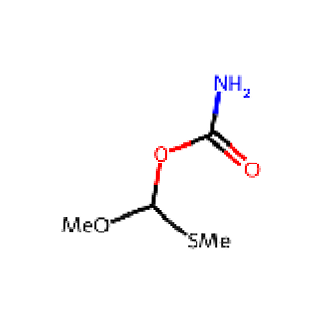 COC(OC(N)=O)SC